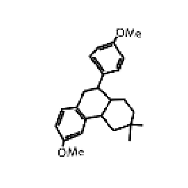 COc1ccc(C2Cc3ccc(OC)cc3C3CC(C)(C)CCC23)cc1